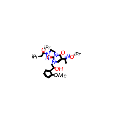 COc1ccccc1C(O)Cn1cc(/C(C)=N/OC(C)C)c(=O)n(CC(NC(=O)CC(C)C)C(C)C)c1=O